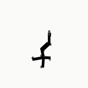 [Li][CH]=C[Si](C)(C)C